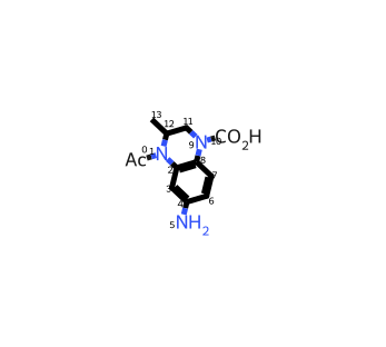 CC(=O)N1c2cc(N)ccc2N(C(=O)O)CC1C